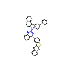 c1ccc(-c2ccc3c(c2)c2c4ccccc4ccc2n3-c2nc(-c3ccc4sc5cc6ccccc6cc5c4c3)c3ccccc3n2)cc1